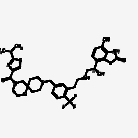 CC(C)c1nc(C(=O)N2CCOC3(CCN(Cc4ccc(C(F)(F)F)c(CCNC[C@H](O)c5ccc(O)c6[nH]c(=O)sc56)c4)CC3)C2)cs1